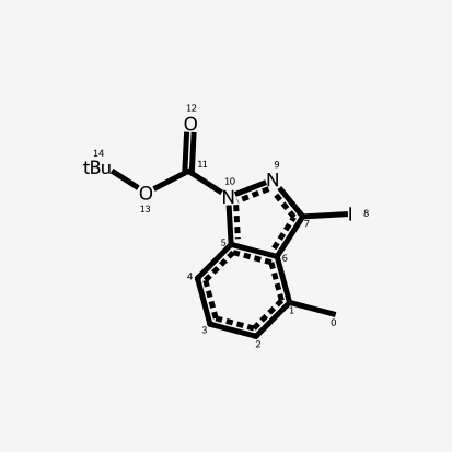 Cc1cccc2c1c(I)nn2C(=O)OC(C)(C)C